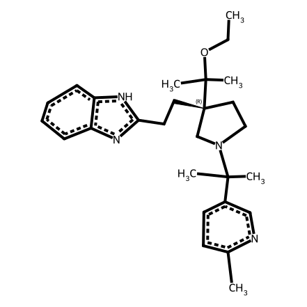 CCOC(C)(C)[C@]1(CCc2nc3ccccc3[nH]2)CCN(C(C)(C)c2ccc(C)nc2)C1